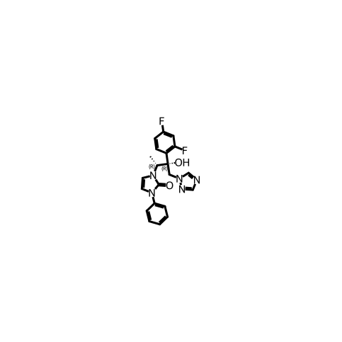 C[C@@H](n1ccn(-c2ccccc2)c1=O)[C@](O)(Cn1cncn1)c1ccc(F)cc1F